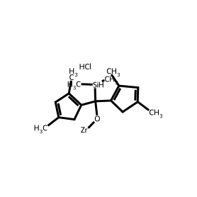 CC1=CC(C)=C(C([O][Zr])(C2=C(C)C=C(C)C2)[SiH](C)C)C1.Cl